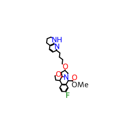 COC(=O)C(c1cc(F)ccc1C1CCOC1)N1CCC(OCCCCc2ccc3c(n2)NCCC3)C1